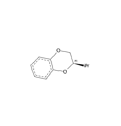 CC(C)[C@@H]1COc2ccccc2O1